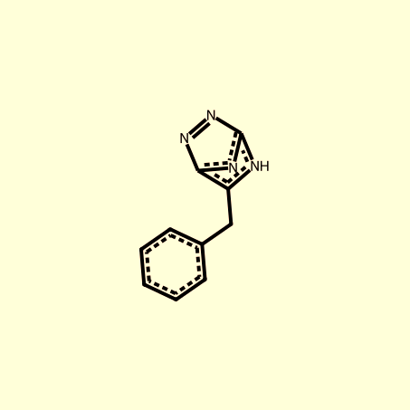 c1ccc(Cc2[nH]c3nc2N=N3)cc1